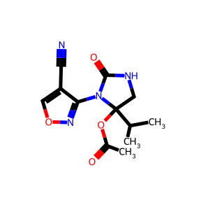 CC(=O)OC1(C(C)C)CNC(=O)N1c1nocc1C#N